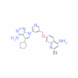 CCc1cc(N)c2ccc(OCc3cncc(-n4cc(C5CCCC5)c5c(N)ncnc54)c3)cc2n1